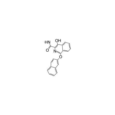 [NH]C(=O)c1nc(Oc2ccc3ccccc3c2)c2ccccc2c1O